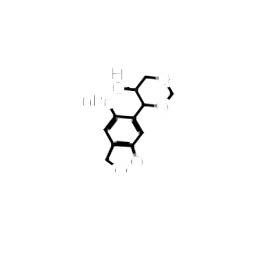 CCCc1cc2c(cc1C1OCOCC1C)OOC2